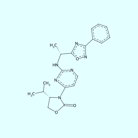 CC(C)[C@H]1COC(=O)N1c1ccnc(N[C@H](C)c2nc(-c3ccccc3)no2)n1